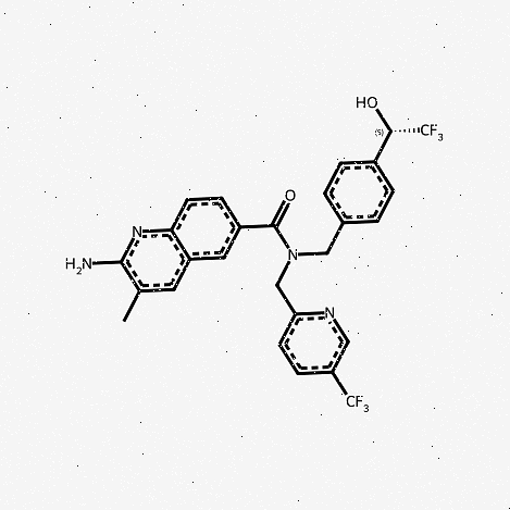 Cc1cc2cc(C(=O)N(Cc3ccc([C@H](O)C(F)(F)F)cc3)Cc3ccc(C(F)(F)F)cn3)ccc2nc1N